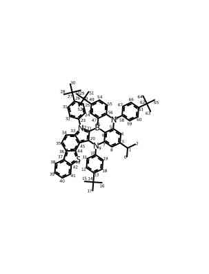 CC(C)c1cc2c3c(c1)N(c1ccc(C(C)(C)C)cc1)c1c(n(-c4ccc(C(C)(C)C)cc4)c4ccc5c6ccccc6sc5c14)B3c1cc(C(C)(C)C)ccc1N2c1ccc(C(C)(C)C)cc1